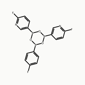 Fc1ccc(B2OB(c3ccc(F)nc3)OB(c3ccc(F)nc3)O2)cc1